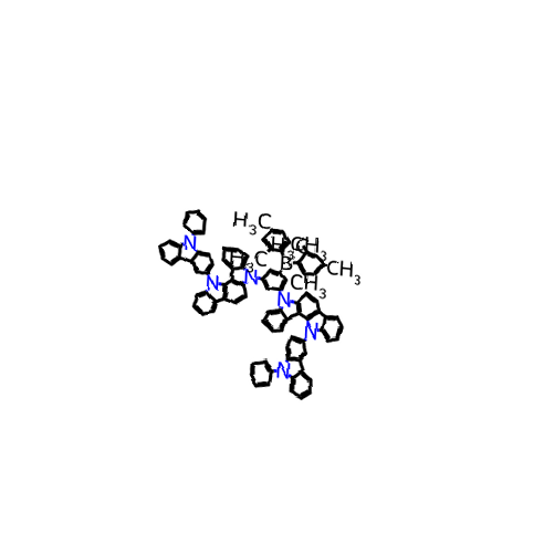 Cc1cc(C)c(B(c2cc(-n3c4ccccc4c4c3ccc3c5ccccc5n(-c5ccc6c(c5)c5ccccc5n6-c5ccccc5)c34)cc(-n3c4ccccc4c4c3ccc3c5ccccc5n(-c5ccc6c(c5)c5ccccc5n6-c5ccccc5)c34)c2)c2c(C)cc(C)cc2C)c(C)c1